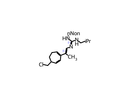 CCCCCCCCCN/C(=N\C=C(/C)C1=CCCC(CCl)C=C1)NCC(C)C